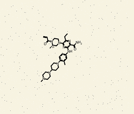 C=CC(=O)N1CCN(c2nc(Nc3ccc(N4CCC(N5CCN(C)CC5)CC4)c(C)c3)c(C(N)=O)nc2CC)C[C@H]1C